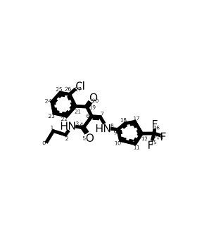 CCCNC(=O)C(=CNc1ccc(C(F)(F)F)cc1)C(=O)c1ccccc1Cl